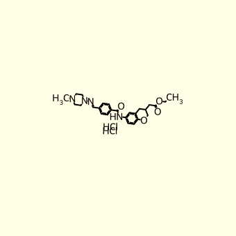 CCOC(=O)CC1COc2ccc(NC(=O)c3ccc(C=NN4CCN(C)CC4)cc3)cc2C1.Cl.Cl